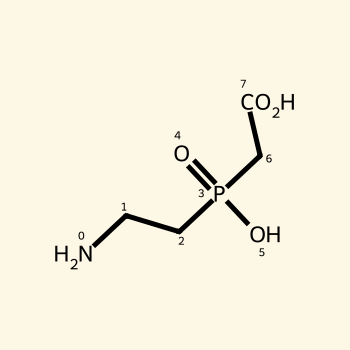 NCCP(=O)(O)CC(=O)O